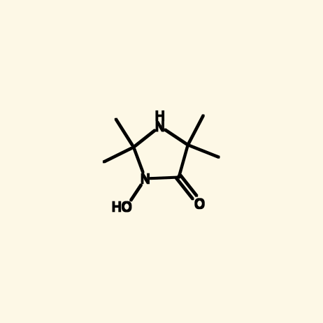 CC1(C)NC(C)(C)N(O)C1=O